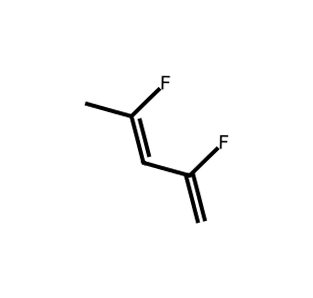 C=C(F)/C=C(/C)F